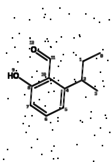 CCC(C)c1cccc(O)c1C=O